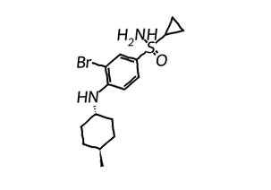 C[C@H]1CC[C@H](Nc2ccc([SH](N)(=O)C3CC3)cc2Br)CC1